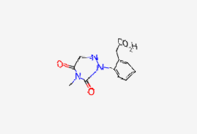 Cn1c(=O)cnn(-c2ccccc2CC(=O)O)c1=O